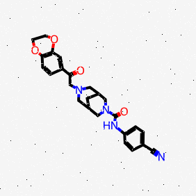 N#Cc1ccc(NC(=O)N2CC3CC(CN(CC(=O)c4ccc5c(c4)OCCO5)C3)C2)cc1